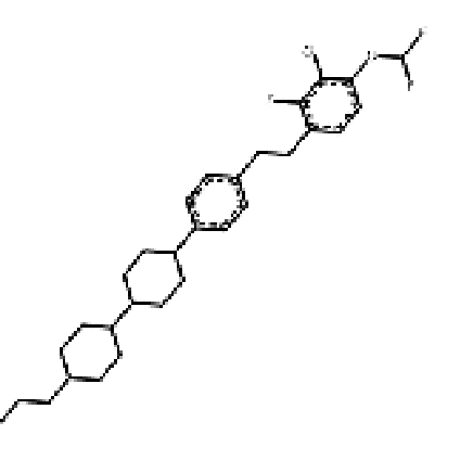 CCCC1CCC(C2CCC(c3ccc(CCc4ccc(OC(F)F)c(Cl)c4F)cc3)CC2)CC1